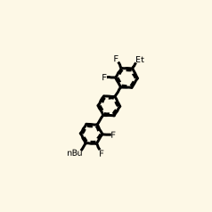 CCCCc1ccc(-c2ccc(-c3ccc(CC)c(F)c3F)cc2)c(F)c1F